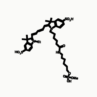 CC[N+]1=C(/C=C/C=C/C=C2\N(CCCCCC(=O)NCCCCCCOP(=O)(O)OC)c3ccc(S(=O)(=O)O)cc3C2(C)C)C(C)(C)c2cc(S(=O)(=O)O)ccc21